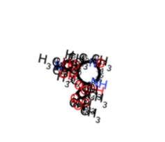 CO[C@]1(C)C[C@H](O[C@H]2[C@H](C)[C@@H](O[C@@H]3O[C@H](C)C[C@H](N(C)C)[C@H]3O)[C@](C)(O)C[C@@H](C)CN(C)C(=O)CCCNC(O)[C@@H]2C)O[C@@H](C)[C@@H]1OC(C)=O